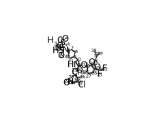 CS(=O)(=O)CN(c1ccc(CNC(=O)O[C@@H](Cc2c(Cl)c[n+]([O-])cc2Cl)c2ccc(OC(F)F)c(OCC3CC3)c2)cc1)[SH](=O)=O